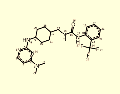 CN(C)c1ccnc(NC2CCC(CNC(=O)Nc3ccccc3C(F)(F)F)CC2)n1